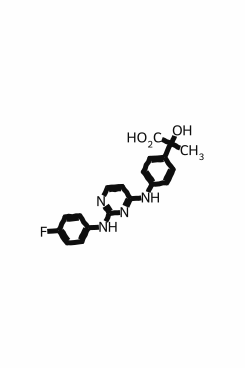 CC(O)(C(=O)O)c1ccc(Nc2ccnc(Nc3ccc(F)cc3)n2)cc1